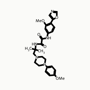 COc1ccc(N2CCN(CC(C)(C)NC(=O)C(=O)Nc3ccc(-c4cnco4)c(OC)c3)CC2)cc1